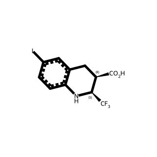 O=C(O)[C@@H]1Cc2cc(I)ccc2N[C@@H]1C(F)(F)F